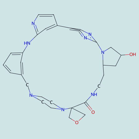 O=C1NCCC2CC(O)CN2c2ncc(cn2)-c2ccnc(c2)Nc2cccc(c2)CN2CCN(CC2)C12COC2